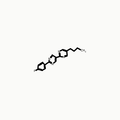 CCCCc1cnc(-c2cnc(-c3ccc(F)cc3)nc2)nc1